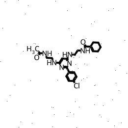 CC(=O)NCCNc1cc(NCCNC(=O)C2=CCCCC2)nc(-c2ccc(Cl)cc2)n1